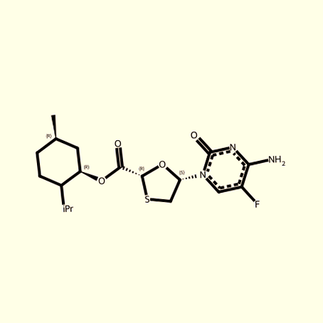 CC(C)C1CC[C@@H](C)C[C@H]1OC(=O)[C@@H]1O[C@H](n2cc(F)c(N)nc2=O)CS1